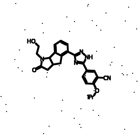 CC(C)Oc1ccc(-c2nc(-c3cccc4c3CC3CC(=O)N(CCO)C43)n[nH]2)cc1C#N